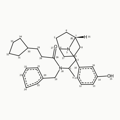 CC(CN1C2CC[C@@H]1CC(c1cccc(O)c1)C2)N(Cc1ccccc1)C(=O)CCC1CCCC1